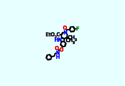 CCOC(=O)C1=CN(C(=O)c2ccc(F)cc2)CC(C)(C)c2c1[nH]c1cc(OC(=O)NCCc3ccccc3)ccc21